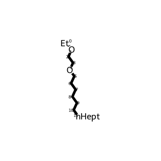 [CH2]COCCOCCCCCCCCCCCCC